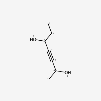 CCC(O)C#CC(C)O